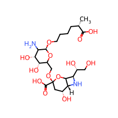 C[C@@H](CCCCO[C@H]1OC(CO[C@]2(C(=O)O)C[C@@H](O)[C@H]3N[C@H]([C@H](O)CO)C3O2)[C@H](O)[C@H](O)C1N)C(=O)O